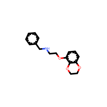 c1ccc(CNCCOc2cccc3c2OCCO3)cc1